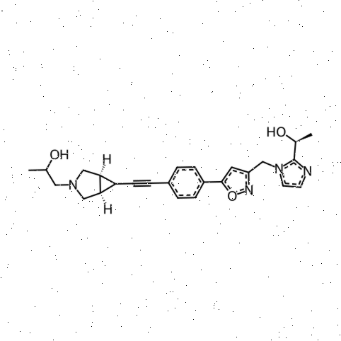 CC(O)CN1C[C@@H]2C(C#Cc3ccc(-c4cc(Cn5ccnc5[C@H](C)O)no4)cc3)[C@@H]2C1